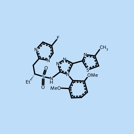 CC[C@H](Cc1ncc(F)cn1)S(=O)(=O)Nc1nnc(-c2nc(C)cs2)n1-c1c(OC)cccc1OC